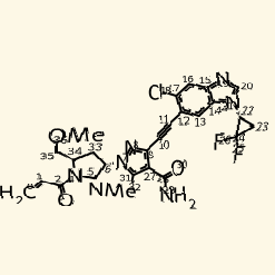 C=CC(=O)N1C[C@@H](n2nc(C#Cc3cc4c(cc3Cl)ncn4[C@@H]3CC3(F)F)c(C(N)=O)c2NC)C[C@@H]1COC